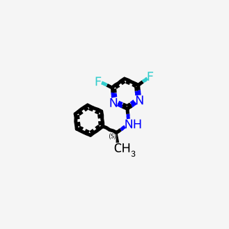 C[C@H](Nc1nc(F)cc(F)n1)c1ccccc1